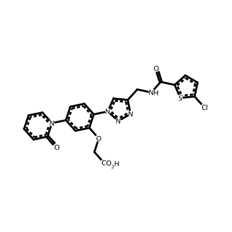 O=C(O)COc1cc(-n2ccccc2=O)ccc1-n1cc(CNC(=O)c2ccc(Cl)s2)nn1